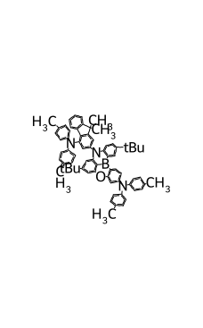 Cc1ccc(N(c2ccc(C)cc2)c2ccc3c(c2)Oc2cc(C(C)(C)C)cc4c2B3c2cc(C(C)(C)C)ccc2N4c2cc(N(c3ccc(C)cc3)c3ccc(C)cc3)c3c(c2)C(C)(C)c2ccccc2-3)cc1